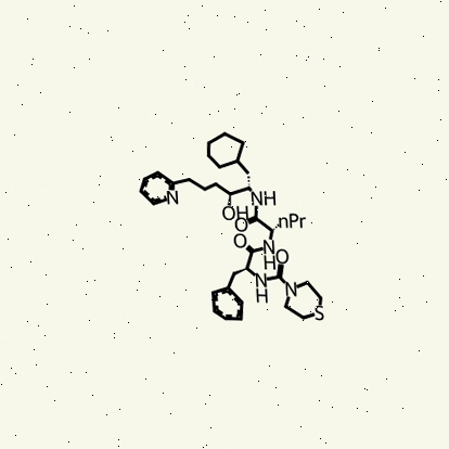 CCC[C@H](NC(=O)[C@H](Cc1ccccc1)NC(=O)N1CCSCC1)C(=O)N[C@@H](CC1CCCCC1)[C@@H](O)CCCc1ccccn1